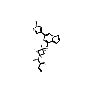 C=CC(=O)N(C)[C@H]1C[C@@](C)(Oc2nc(-c3cnn(C)c3)cn3nccc23)[C@H]1C